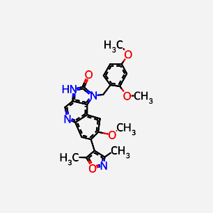 COc1ccc(Cn2c(=O)[nH]c3cnc4cc(-c5c(C)noc5C)c(OC)cc4c32)c(OC)c1